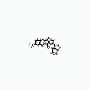 CC1C2Cc3ccc(C(F)(F)F)cc3CN2C(=O)[C@]12CC[C@@H](N[C@H]1CCOC[C@H]1C)C2